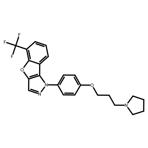 FC(F)(F)c1cccc2c1oc1cnn(-c3ccc(OCCCN4CCCC4)cc3)c12